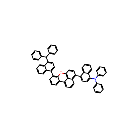 c1ccc(C(c2ccccc2)c2ccc(-c3cccc4c3Oc3ccc(-c5ccc(N(c6ccccc6)c6ccccc6)c6ccccc56)c5cccc-4c35)c3ccccc23)cc1